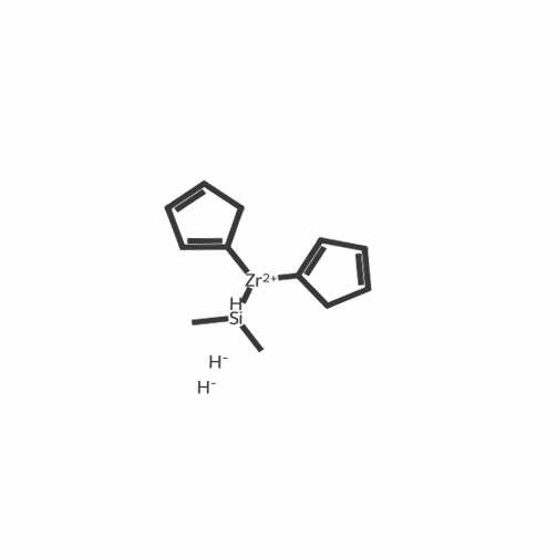 C[SiH](C)[Zr+2]([C]1=CC=CC1)[C]1=CC=CC1.[H-].[H-]